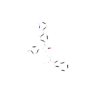 O=C1[C@H](SC[C@H](O)c2cc3cccccc-3c2)[C@@H](c2ccc(O)cc2)N1c1ccc(-c2cccnc2)cc1